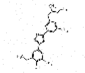 CCc1cc(-c2noc(-c3cc(C)cc(CN(C)CC)c3)n2)cc(C)c1O